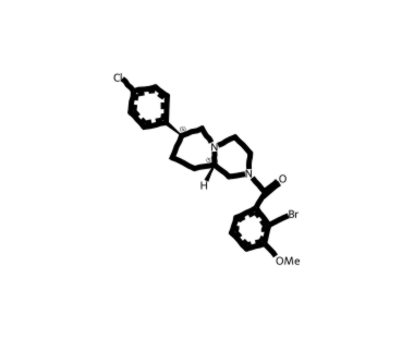 COc1cccc(C(=O)N2CCN3C[C@H](c4ccc(Cl)cc4)CC[C@H]3C2)c1Br